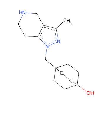 Cc1nn(CC23CCC(O)(CC2)CC3)c2c1CNCC2